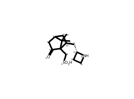 CC1(C)C2CC(=O)C1(CS(=O)(=O)O)C(C[C@H]1CCN1)C2